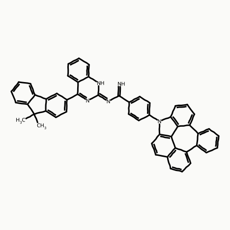 CC1(C)c2ccccc2-c2cc(-c3n/c(=N/C(=N)c4ccc(-n5c6cccc7c6c6c8c(cccc8ccc65)-c5ccccc5-7)cc4)[nH]c4ccccc34)ccc21